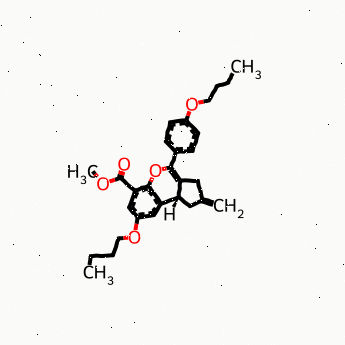 C=C1CC2=C(c3ccc(OCCCC)cc3)Oc3c(C(=O)OC)cc(OCCCC)cc3[C@H]2C1